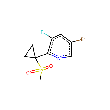 CS(=O)(=O)C1(c2ncc(Br)cc2F)CC1